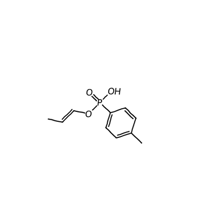 CC=COP(=O)(O)c1ccc(C)cc1